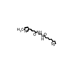 Cc1ccc(C=CCC(=O)NCCNC(=O)CCCCC2CCSS2)cn1